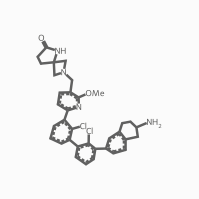 COc1nc(-c2cccc(-c3cccc(-c4ccc5c(c4)CCC(N)C5)c3Cl)c2Cl)ccc1CN1CC2(CCC(=O)N2)C1